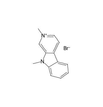 Cn1c2ccccc2c2cc[n+](C)cc21.[Br-]